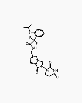 CC(C)Oc1ccccc1C(F)(F)C(=O)NCc1ccc2c(c1)CN([C@@H]1CCC(=O)NC1=O)C2=O